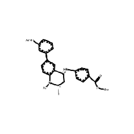 CC(=O)Nc1cccc(-c2ccc3c(c2)[C@H](Nc2ccc(C(=O)OC(C)(C)C)cc2)C[C@H](C)N3C(C)=O)c1